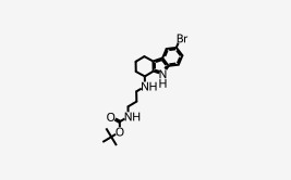 CC(C)(C)OC(=O)NCCCNC1CCCc2c1[nH]c1ccc(Br)cc21